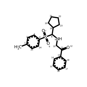 Cc1ccc(S(=O)(=O)C(NCC(=O)c2ccccc2)C2CCCC2)cc1